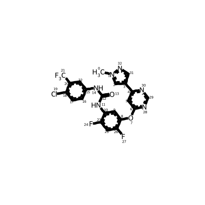 Cn1cc(-c2cc(Oc3cc(NC(=O)Nc4ccc(Cl)c(C(F)(F)F)c4)c(F)cc3F)ncn2)cn1